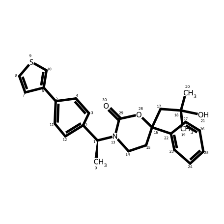 C[C@@H](c1ccc(-c2ccsc2)cc1)N1CCC(CC(C)(C)O)(c2ccccc2)OC1=O